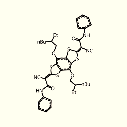 [C-]#[N+]C(C(=O)Nc1ccccc1)=C1Sc2c(OCC(CC)CCCC)c3c(c(OCC(CC)CCCC)c2S1)SC(=C(C#N)C(=O)Nc1ccccc1)S3